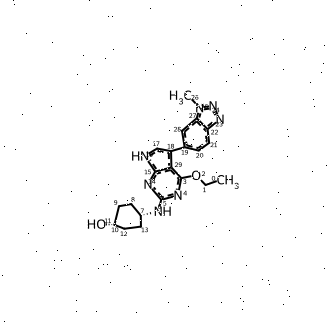 CCOc1nc(N[C@H]2CC[C@@H](O)CC2)nc2[nH]cc(-c3ccc4nnn(C)c4c3)c12